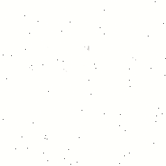 N#Cc1ccc2[nH]c(-c3ccncc3)c(-c3ccc(F)cc3)c2n1